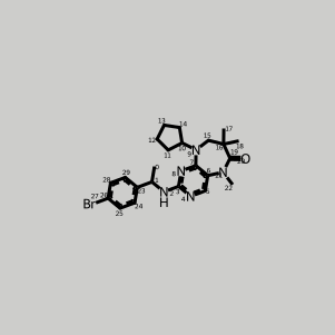 CC(Nc1ncc2c(n1)N(C1CCCC1)CC(C)(C)C(=O)N2C)c1ccc(Br)cc1